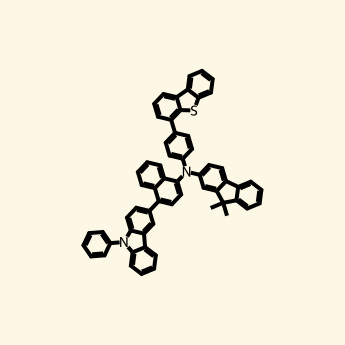 CC1(C)c2ccccc2-c2ccc(N(c3ccc(-c4cccc5c4sc4ccccc45)cc3)c3ccc(-c4ccc5c(c4)c4ccccc4n5-c4ccccc4)c4ccccc34)cc21